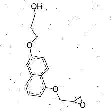 OCCCOc1ccc2c(OCC3CO3)cccc2c1